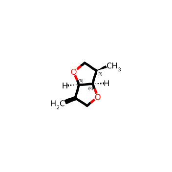 C=C1CO[C@@H]2[C@H](C)CO[C@H]12